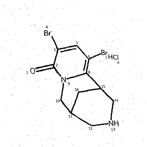 Cl.O=c1c(Br)cc(Br)c2n1CC1CNCC2C1